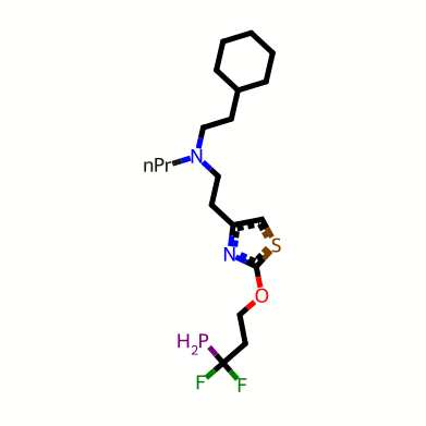 CCCN(CCc1csc(OCCC(F)(F)P)n1)CCC1CCCCC1